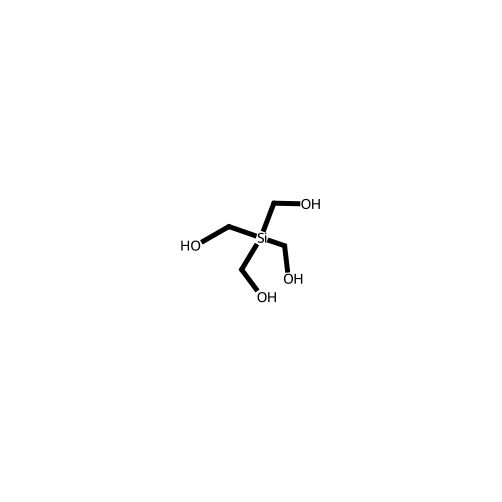 OC[Si](CO)(CO)CO